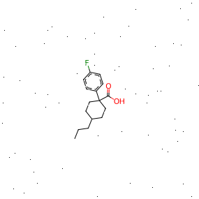 CCCC1CCC(C(=O)O)(c2ccc(F)cc2)CC1